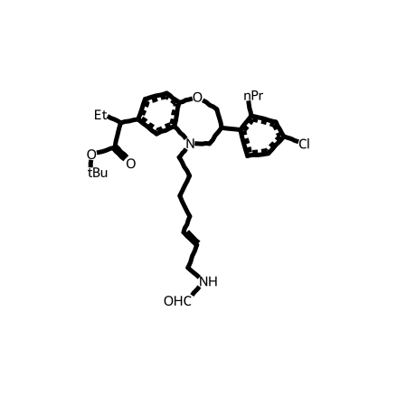 CCCc1cc(Cl)ccc1C1COc2ccc(C(CC)C(=O)OC(C)(C)C)cc2N(CCCC/C=C/CNC=O)C1